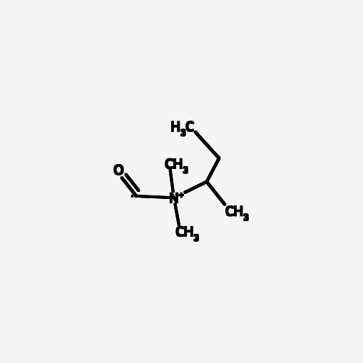 CCC(C)[N+](C)(C)[C]=O